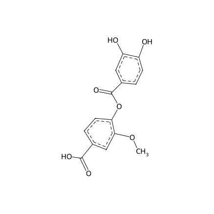 COc1cc(C(=O)O)ccc1OC(=O)c1ccc(O)c(O)c1